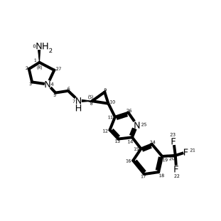 N[C@@H]1CCN(CCN[C@H]2CC2c2ccc(-c3cccc(C(F)(F)F)c3)nc2)C1